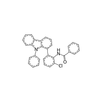 O=C(Nc1c(Cl)cccc1-c1cccc2c3ccccc3n(-c3ccccc3)c12)c1ccccc1